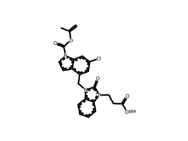 C=C(C)OC(=O)n1ccc2c(Cn3c(=O)n(CCC(=O)OC)c4ccccc43)cc(Cl)cc21